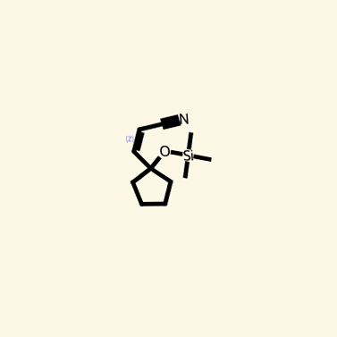 C[Si](C)(C)OC1(/C=C\C#N)CCCC1